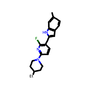 CCC1CCN(c2ccc(-c3cc4ccc(C)cc4[nH]3)c(F)n2)CC1